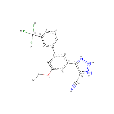 CCOc1cc(-c2cccc(C(F)(F)F)c2)cc(-c2nn[nH]c2C#N)c1